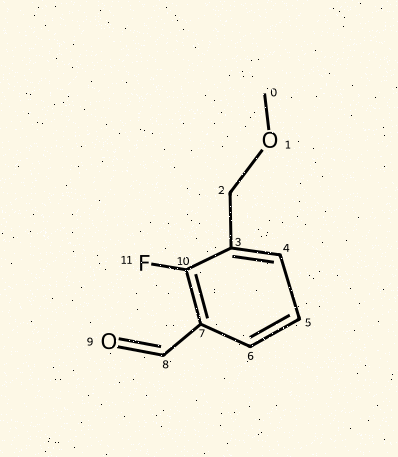 COCc1cccc(C=O)c1F